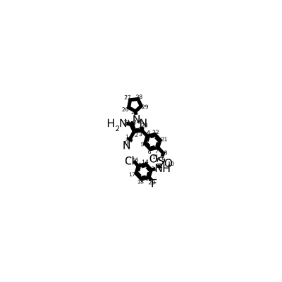 N#Cc1c(-c2ccc(CS(=O)(=O)Nc3cc(Cl)ccc3F)cc2)nn(C2CCCC2)c1N